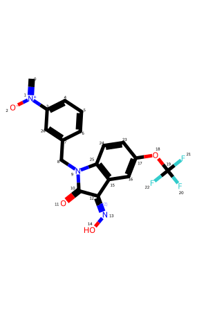 C=[N+]([O-])c1cccc(CN2C(=O)/C(=N\O)c3cc(OC(F)(F)F)ccc32)c1